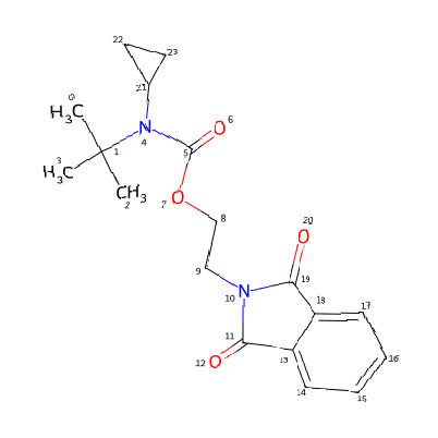 CC(C)(C)N(C(=O)OCCN1C(=O)c2ccccc2C1=O)C1CC1